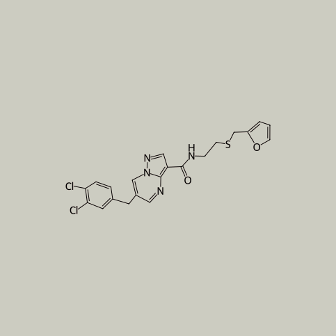 O=C(NCCSCc1ccco1)c1cnn2cc(Cc3ccc(Cl)c(Cl)c3)cnc12